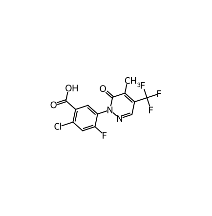 Cc1c(C(F)(F)F)cnn(-c2cc(C(=O)O)c(Cl)cc2F)c1=O